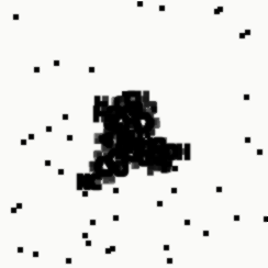 CC1(C)CC(=O)N(C(c2ccc(C#N)cc2)[C@@H]2C[C@H]2C(=O)N[C@@H]2c3ccccc3OC(C)(C)[C@H]2O)C(=N)N1.O=C(O)C(F)(F)F